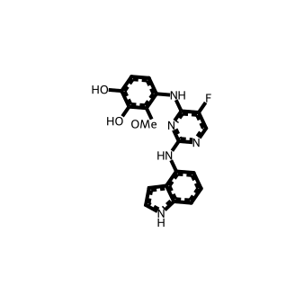 COc1c(Nc2nc(Nc3cccc4[nH]ccc34)ncc2F)ccc(O)c1O